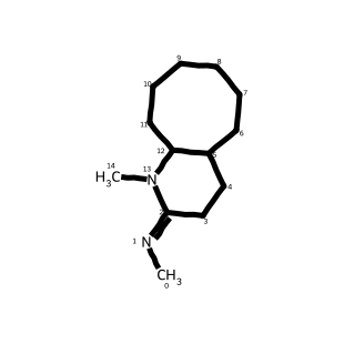 C/N=C1\CCC2CCCCCCC2N1C